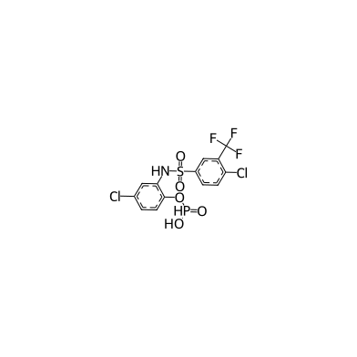 O=[PH](O)Oc1ccc(Cl)cc1NS(=O)(=O)c1ccc(Cl)c(C(F)(F)F)c1